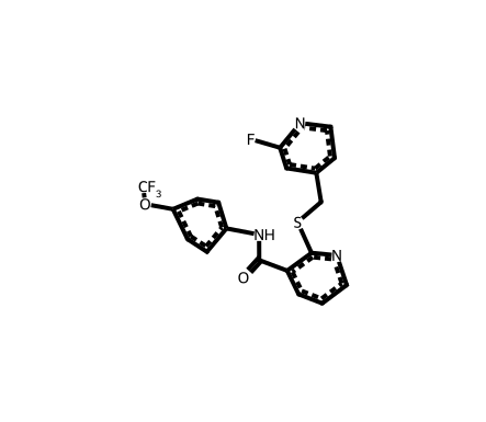 O=C(Nc1ccc(OC(F)(F)F)cc1)c1cccnc1SCc1ccnc(F)c1